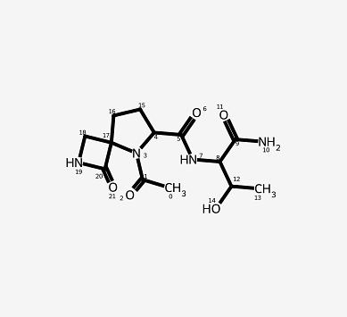 CC(=O)N1C(C(=O)NC(C(N)=O)C(C)O)CCC12CNC2=O